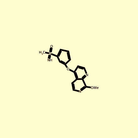 COc1nccc2c(Oc3cccc(S(C)(=N)=O)c3)ccnc12